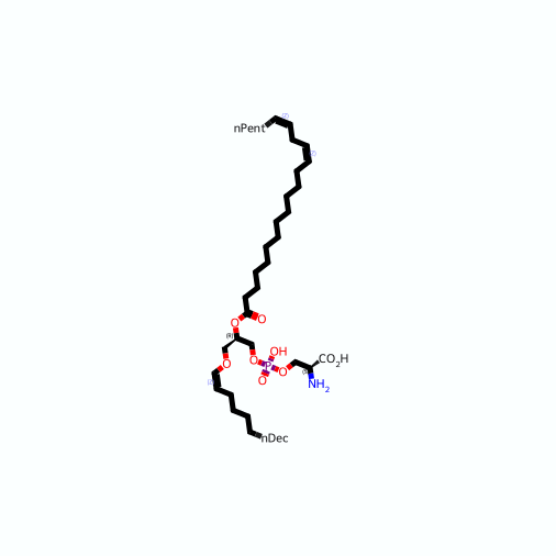 CCCCC/C=C\C/C=C\CCCCCCCCCCCC(=O)O[C@H](CO/C=C\CCCCCCCCCCCCCC)COP(=O)(O)OC[C@H](N)C(=O)O